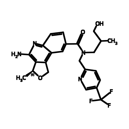 CC(CO)CN(Cc1ccc(C(F)(F)F)cn1)C(=O)c1ccc2nc(N)c3c(c2c1)CO[C@H]3C